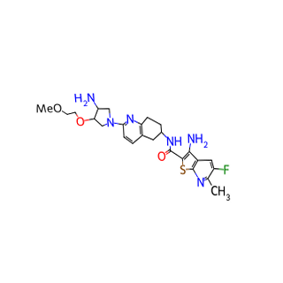 COCCOC1CN(c2ccc3c(n2)CCC(NC(=O)c2sc4nc(C)c(F)cc4c2N)C3)CC1N